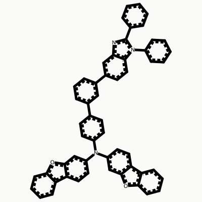 c1ccc(-c2nc3cc(-c4cccc(-c5ccc(N(c6ccc7c(c6)oc6ccccc67)c6ccc7c(c6)oc6ccccc67)cc5)c4)ccc3n2-c2ccccc2)cc1